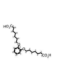 O=C(O)CCCCCCOc1ccccc1OCCCCCCC(=O)O